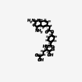 Nc1nc(N)c2cc(CC(=O)Oc3ccc(C(=O)NC(CCC(=O)O)C(=O)O)cc3)ccc2n1